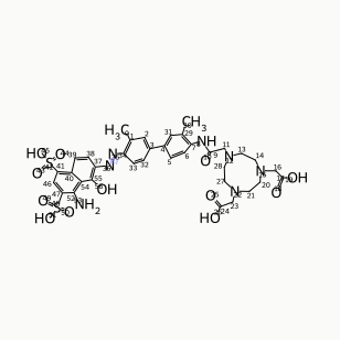 Cc1cc(-c2ccc(NC(=O)CN3CCN(CC(=O)O)CCN(CC(=O)O)CC3)c(C)c2)ccc1/N=N/c1ccc2c(S(=O)(=O)O)cc(S(=O)(=O)O)c(N)c2c1O